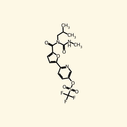 CNC(=O)N(CC(C)C)C(=O)c1ccc(-c2ccc(OS(=O)(=O)C(F)(F)F)cn2)o1